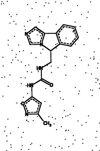 Cc1cc(NC(=O)NCC2c3ccccc3-c3cncn32)on1